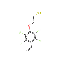 C=Cc1c(F)c(F)c(OCCS)c(F)c1F